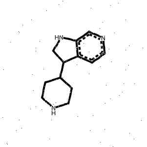 c1cc2c(cn1)NCC2C1CCNCC1